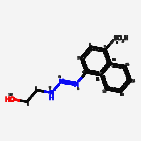 O=S(=O)(O)c1ccc(N=NNCCO)c2ccccc12